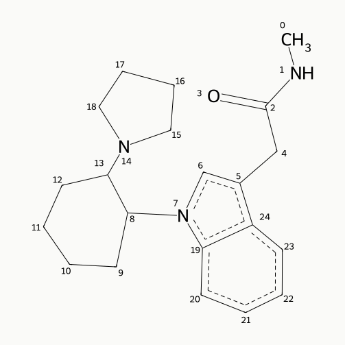 CNC(=O)Cc1cn(C2CCCCC2N2CCCC2)c2ccccc12